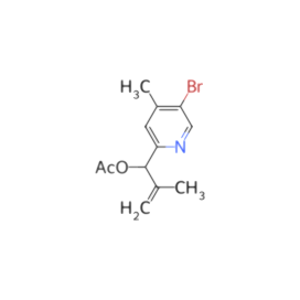 C=C(C)C(OC(C)=O)c1cc(C)c(Br)cn1